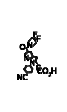 N#Cc1ccc(-n2c(CCC(=O)O)cc3cc(C(=O)N4CCC(F)(F)CC4)cnc32)cc1